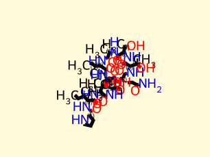 CC[C@H](C)[C@H](NC(=O)[C@H](C)NC(=O)[C@@H](NC(=O)[C@@H](NC(=O)[C@H](CCC(N)=O)NC(=O)[C@H](CO)NC(=O)[C@@H](NC(=O)[C@@H](NC(=O)[C@@H]1CCCN1)[C@@H](C)CC)C(C)C)[C@@H](C)O)[C@@H](C)O)C(=O)N[C@@H](C)C(=O)O